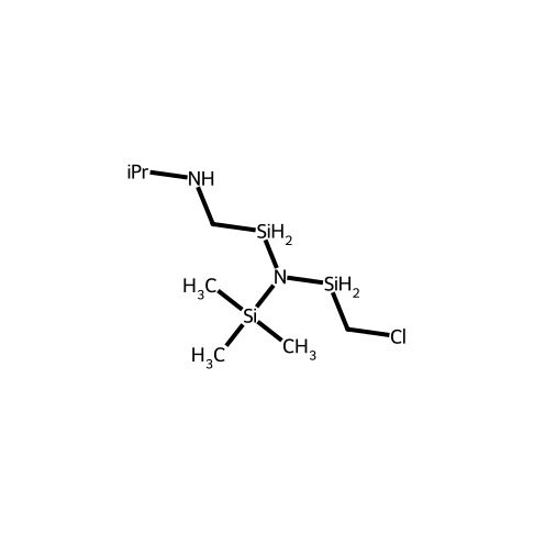 CC(C)NC[SiH2]N([SiH2]CCl)[Si](C)(C)C